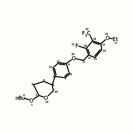 CCCCOC1CCC(c2ccc(OCc3ccc(OCC)c(C(F)(F)F)c3F)cc2)CO1